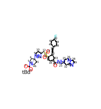 CC(C)(C)OC(=O)N1CCC(n2ccc(CS(=O)(=O)c3ccc(C(=O)NCc4ccn5ccnc5c4)cc3C#Cc3ccc(F)cc3)n2)CC1